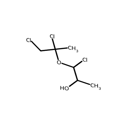 CC(O)C(Cl)OC(C)(Cl)CCl